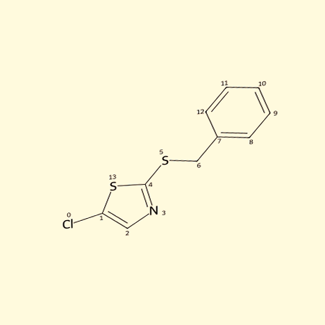 Clc1cnc(SCc2ccccc2)s1